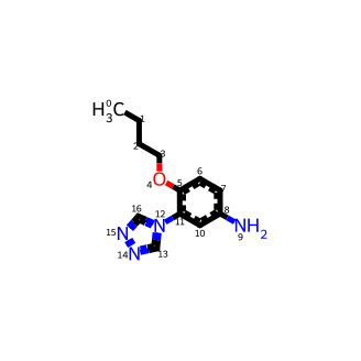 CCCCOc1ccc(N)cc1-n1cnnc1